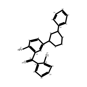 CCCc1ccc(C2CCCC(c3ccccc3)C2)cc1C(=O)c1ccccc1CC